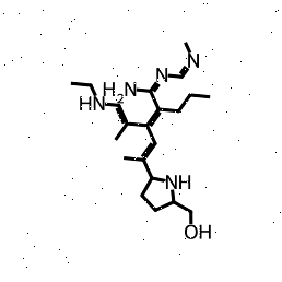 CCCC(=C(\C=C(/C)C1CCC(CO)N1)C(/C)=C/NCC)/C(N)=N\C=N/C